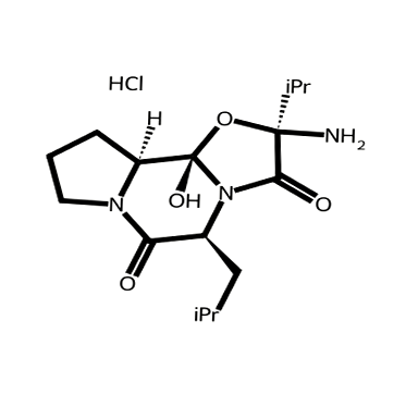 CC(C)C[C@H]1C(=O)N2CCC[C@H]2[C@]2(O)O[C@](N)(C(C)C)C(=O)N12.Cl